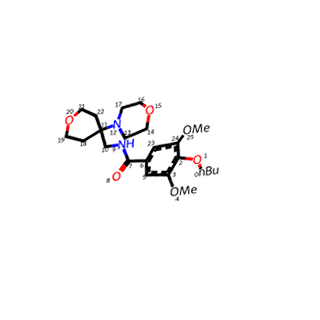 CCCCOc1c(OC)cc(C(=O)NCC2(N3CCOCC3)CCOCC2)cc1OC